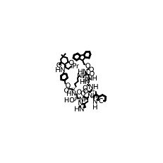 CC(C)CC(Nc1ccc(COC(=O)[C@H](CCCCN)NC(=O)[C@@H](CO)NC(=O)[C@H](Cc2c[nH]cn2)NC(=O)[C@@H](Cc2c[nH]c3ccccc23)NC(=O)NNC(=O)[C@@H](CC(C)C)NC(=O)OCC2c3ccccc3-c3ccccc32)cc1)=C1C(=O)CC(C)(C)CC1=O